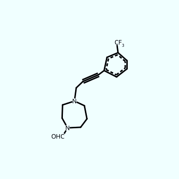 O=CN1CCCN(CC#Cc2cccc(C(F)(F)F)c2)CC1